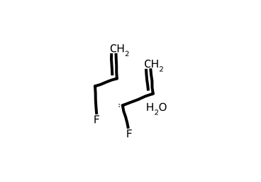 C=CCF.C=C[C]F.O